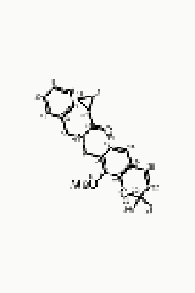 COc1c(CN(Cc2ccccc2)C(=O)C2CC2)ccc2c1OC(C)(C)C=C2